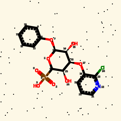 O=S(=O)(O)C1O[C@@H](Oc2ccccc2)[C@H](O)[C@@H](Oc2cccnc2Cl)[C@@H]1O